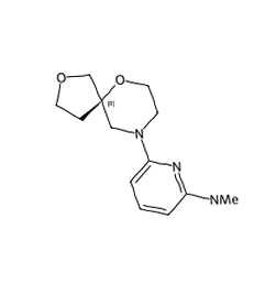 CNc1cccc(N2CCO[C@]3(CCOC3)C2)n1